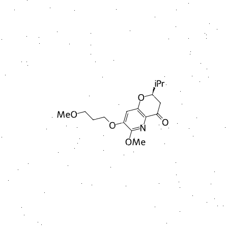 COCCCOc1cc2c(nc1OC)C(=O)C[C@H](C(C)C)O2